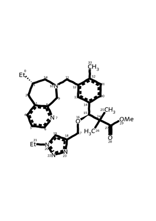 CC[C@H]1Cc2cccnc2CN(Cc2cc([C@H](OCc3cn(CC)nn3)C(C)(C)C(=O)OC)ccc2C)C1